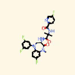 CN1C(=O)[C@H](NC(=O)C(C)(C)NC(=O)c2ccc(F)cn2)CN(c2cc(F)cc(F)c2)c2ccc(F)cc21